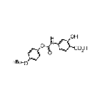 CCCCOc1ccc(OC(=O)Nc2ccc(C(=O)O)c(O)c2)cc1